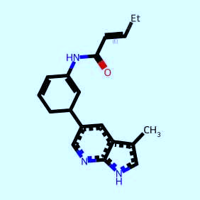 CC/C=C/C(=O)NC1=CC(c2cnc3[nH]cc(C)c3c2)CC=C1